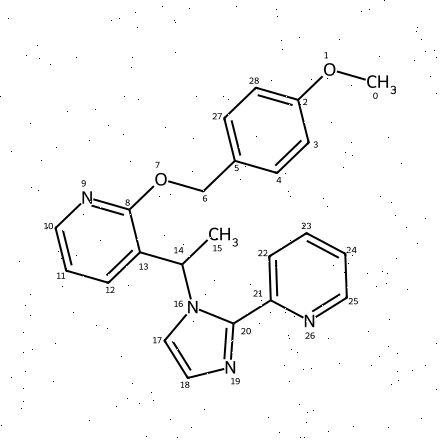 COc1ccc(COc2ncccc2C(C)n2ccnc2-c2ccccn2)cc1